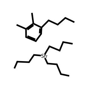 CCCCc1cccc(C)c1C.CCC[CH2][Sn]([CH2]CCC)[CH2]CCC